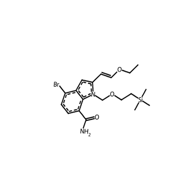 CCOC=Cc1cc2c(Br)ccc(C(N)=O)c2n1COCC[Si](C)(C)C